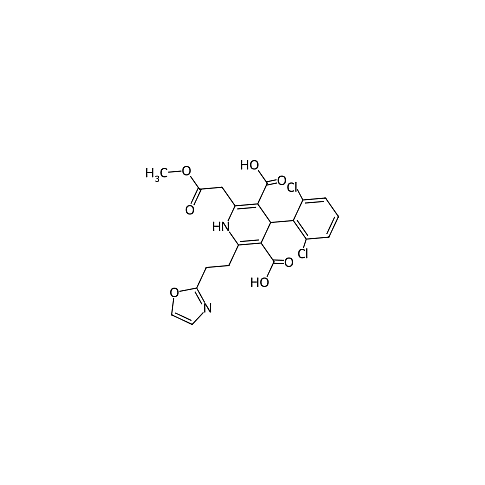 COC(=O)CC1=C(C(=O)O)C(c2c(Cl)cccc2Cl)C(C(=O)O)=C(CCc2ncco2)N1